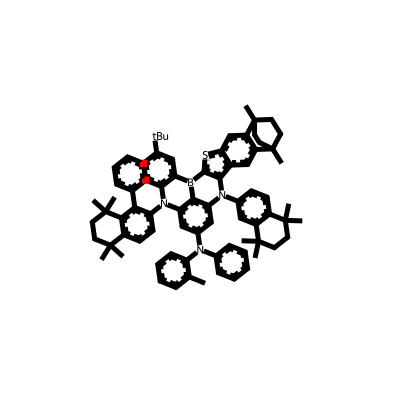 Cc1ccccc1N(c1ccccc1)c1cc2c3c(c1)N(c1ccc4c(c1)C(C)(C)CCC4(C)C)c1c(sc4cc5c(cc14)C1(C)CCC5(C)CC1)B3c1cc(C(C)(C)C)ccc1N2c1ccc2c(c1-c1ccccc1)C(C)(C)CCC2(C)C